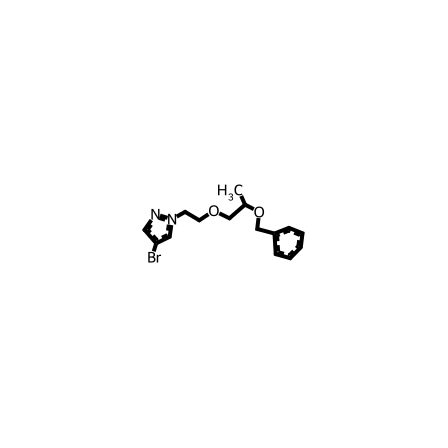 CC(COCCn1cc(Br)cn1)OCc1ccccc1